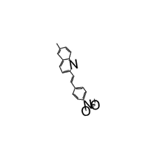 Cc1ccc2nc(/C=C/c3ccc([N+](=O)[O-])cc3)ccc2c1